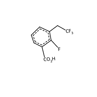 O=C(O)c1cccc(CC(F)(F)F)c1F